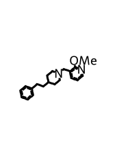 COc1ncccc1CN1CCC(CCc2ccccc2)CC1